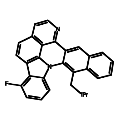 CC(C)Cc1c2ccccc2cc2c3nccc4ccc5c6c(F)cccc6n(c12)c5c43